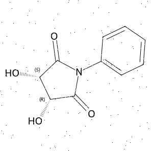 O=C1[C@@H](O)[C@@H](O)C(=O)N1c1ccccc1